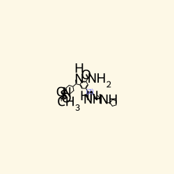 CCS(=O)(=O)N1CCC(c2c[nH]c3c(C(N)=O)cc(/C(C=N)=C/NCCNCC4CCCC4)cc23)CC1